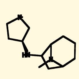 CN1C2CCCC1C(N[C@H]1CC[N]C1)C2